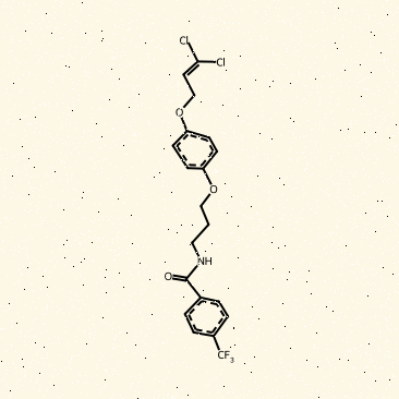 O=C(NCCCOc1ccc(OCC=C(Cl)Cl)cc1)c1ccc(C(F)(F)F)cc1